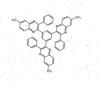 Cc1ccc2nc(-c3cc(-c4nc5ccc(C)cc5nc4-c4ccccc4)cc(-c4nc5ccc(C)cc5nc4-c4ccccc4)c3)c(-c3ccccc3)nc2c1